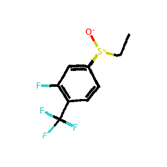 CC[S+]([O-])c1ccc(C(F)(F)F)c(F)c1